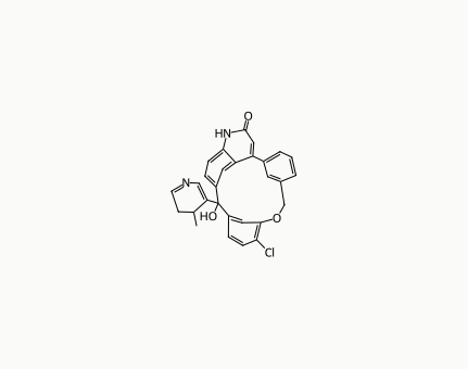 CC1CC=NC=C1C1(O)c2ccc(Cl)c(c2)OCc2cccc(c2)-c2cc(=O)[nH]c3ccc1cc23